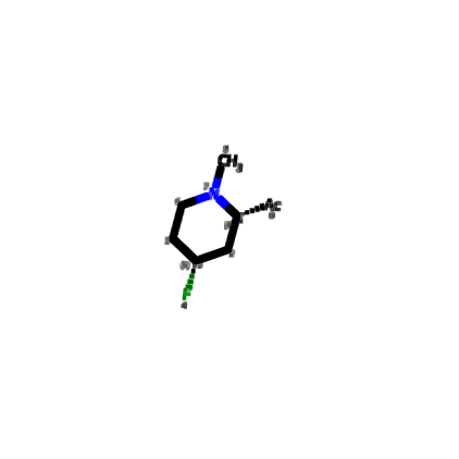 CC(=O)[C@@H]1C[C@H](F)CCN1C